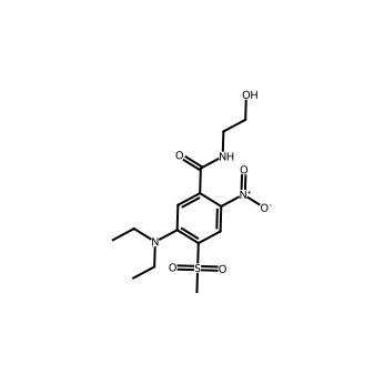 CCN(CC)c1cc(C(=O)NCCO)c([N+](=O)[O-])cc1S(C)(=O)=O